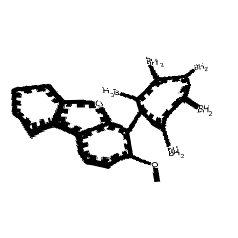 Bc1c(B)c(B)c(-c2c(OC)ccc3c2oc2ccccc23)c(B)c1B